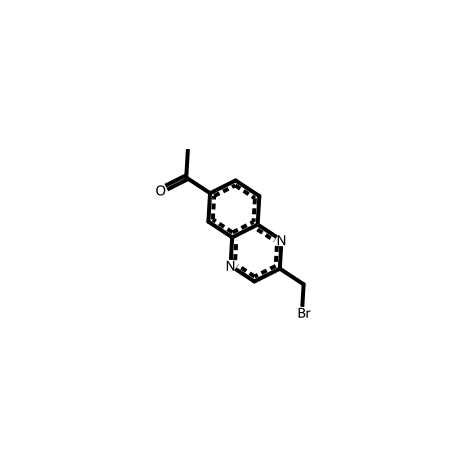 CC(=O)c1ccc2nc(CBr)cnc2c1